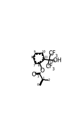 C=C(C)C(=O)Oc1ccccc1C(O)(C(F)(F)F)C(F)(F)F